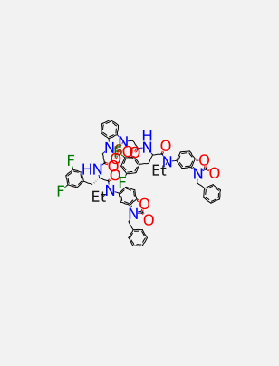 CCN(C(=O)C(Cc1cc(F)cc(F)c1)NC(=O)CN1c2ccccc2N(CC(=O)N[C@@H](Cc2cc(F)cc(F)c2)C(=O)N(CC)c2ccc3oc(=O)n(Cc4ccccc4)c3c2)S1(=O)=O)c1ccc2oc(=O)n(Cc3ccccc3)c2c1